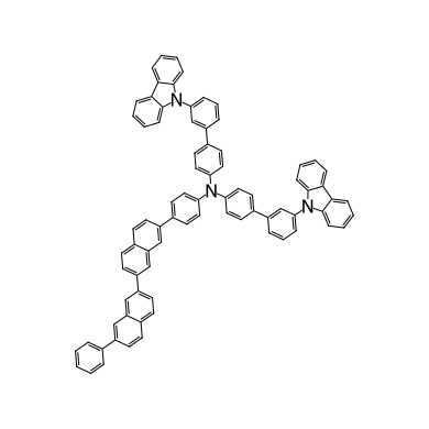 c1ccc(-c2ccc3ccc(-c4ccc5ccc(-c6ccc(N(c7ccc(-c8cccc(-n9c%10ccccc%10c%10ccccc%109)c8)cc7)c7ccc(-c8cccc(-n9c%10ccccc%10c%10ccccc%109)c8)cc7)cc6)cc5c4)cc3c2)cc1